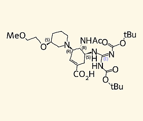 COCCO[C@H]1CCCN([C@@H]2C=C(C(=O)O)C[C@H](N/C(=N\C(=O)OC(C)(C)C)NC(=O)OC(C)(C)C)[C@H]2NC(C)=O)C1